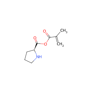 C=C(C)C(=O)OC(=O)[C@@H]1CCCN1